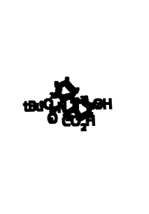 CC(C)(C)OC(=O)N(c1ccccc1)C(C(=O)O)c1ccc(O)cc1